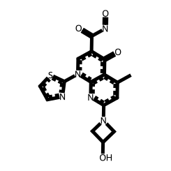 Cc1cc(N2CC(O)C2)nc2c1c(=O)c(C(=O)N=O)cn2-c1nccs1